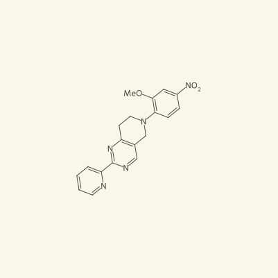 COc1cc([N+](=O)[O-])ccc1N1CCc2nc(-c3ccccn3)ncc2C1